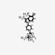 Cc1cn(C2CCN(C(=O)OC(C)(C)C)CC2)c2ccc(Br)c(C)c12